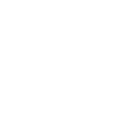 Cc1cc(C)c(Cl)c(C(F)(F)F)c1